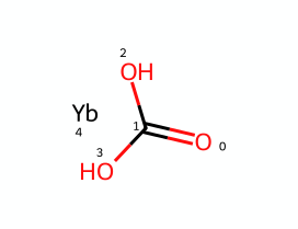 O=C(O)O.[Yb]